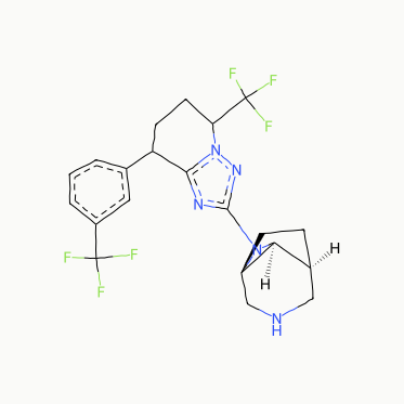 FC(F)(F)c1cccc(C2CCC(C(F)(F)F)n3nc(N4[C@H]5[C@H]6CC[C@]54CNC6)nc32)c1